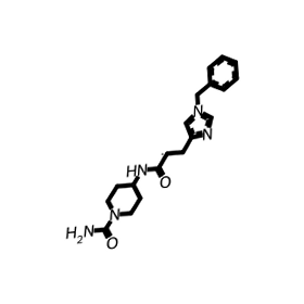 NC(=O)N1CCC(NC(=O)[CH]Cc2cn(Cc3ccccc3)cn2)CC1